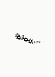 CCCCCCC1CC=C(c2ccc(C(=O)Oc3ccc(CC(C)CC)cc3)cc2)CC1